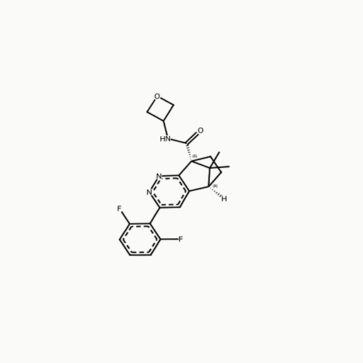 CC1(C)[C@H]2CC[C@]1(C(=O)NC1COC1)c1nnc(-c3c(F)cccc3F)cc12